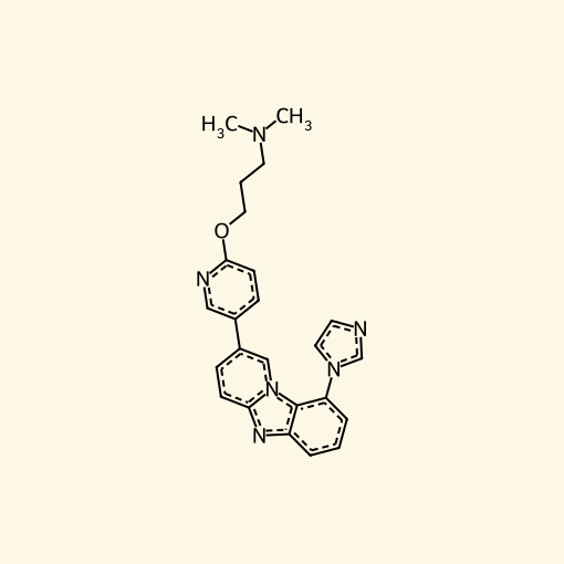 CN(C)CCCOc1ccc(-c2ccc3nc4cccc(-n5ccnc5)c4n3c2)cn1